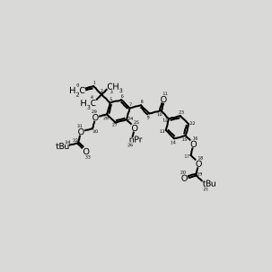 C=CC(C)(C)c1cc(/C=C/C(=O)c2ccc(OCOC(=O)C(C)(C)C)cc2)c(OCCC)cc1OCOC(=O)C(C)(C)C